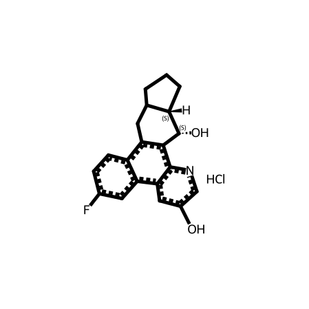 Cl.Oc1cnc2c3c(c4ccc(F)cc4c2c1)CC1CCC[C@@H]1[C@@H]3O